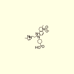 COC(=O)N1c2ccc3c(nc(CCn4ccc(C)n4)n3C3CCC(C(=O)O)CC3)c2CCC1C